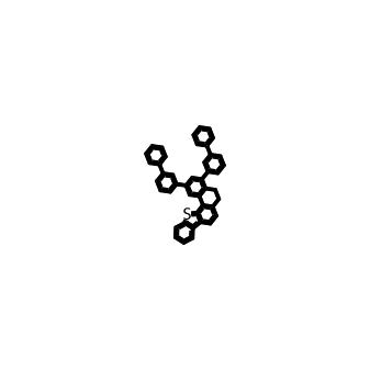 c1ccc(-c2cccc(-c3cc(-c4cccc(-c5ccccc5)c4)c4c(c3)-c3c(ccc5c3sc3ccccc35)CC4)c2)cc1